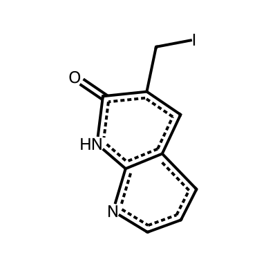 O=c1[nH]c2ncccc2cc1CI